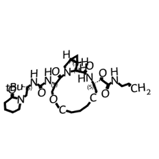 C=CCNC(=O)C(=O)[C@@H]1CCCCCCCOC[C@H](NC(=O)N[C@H](CN2CCCCC2=O)C(C)(C)C)C(=O)N2C[C@@H]3C[C@@H]3[C@H]2C(=O)N1